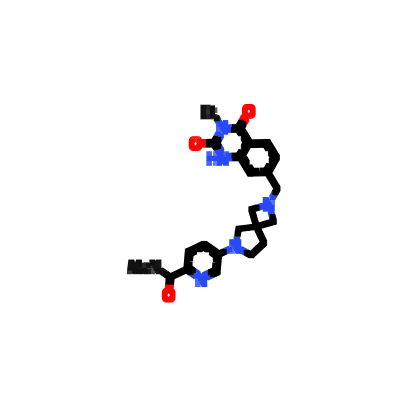 CCn1c(=O)[nH]c2cc(CN3CC4(CCN(c5ccc(C(=O)NC)nc5)C4)C3)ccc2c1=O